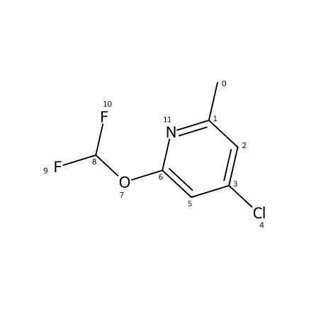 Cc1cc(Cl)cc(OC(F)F)n1